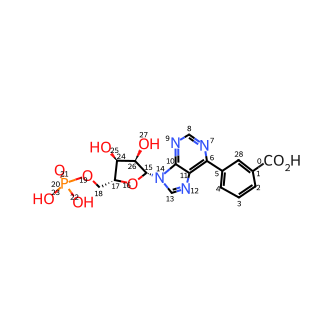 O=C(O)c1cccc(-c2ncnc3c2ncn3[C@@H]2O[C@H](COP(=O)(O)O)[C@@H](O)[C@H]2O)c1